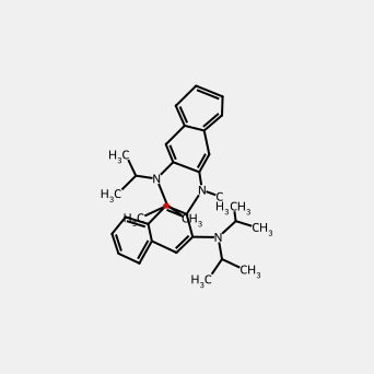 CC(C)N(c1cc2ccccc2cc1N(C)c1cc2ccccc2cc1N(C(C)C)C(C)C)C(C)C